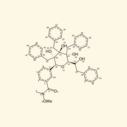 CON(C)C(=O)c1cccc([C@@H]2O[C@H](C(O)Cc3ccccc3)[C@](O)(Cc3ccccc3)[C@@](O)(Cc3ccccc3)[C@]2(O)Cc2ccccc2)c1